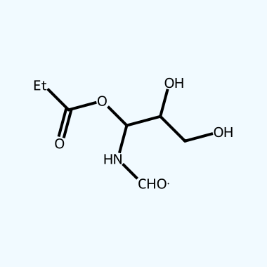 CCC(=O)OC(N[C]=O)C(O)CO